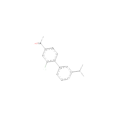 CC(=O)c1ccc(-c2cccc(C(C)C)c2)c(Cl)c1